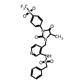 CC1C(=O)N(c2ccc(S(=O)(=O)C(F)(F)F)cc2)C(=O)N1Cc1ccncc1NS(=O)(=O)Cc1ccccc1